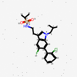 CC(C)Cn1cc(CCNS(=O)(=O)C(C)C)c2cc(F)c(-c3ccccc3Cl)cc21